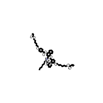 C=CC(=O)OCCCCCCOc1ccc(C(=O)Oc2cc(/C=N/N(CCCCCC)c3nc4cccnc4s3)c(OC(=O)c3ccc(OCCCCCCOC(=O)C=C)cc3)c3ccccc23)cc1